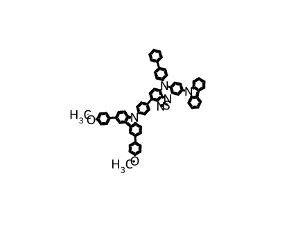 COc1ccc(-c2ccc3c(c2)c2cc(-c4ccc(OC)cc4)ccc2n3-c2ccc(-c3ccc(N(c4ccc(-c5ccccc5)cc4)c4ccc(-n5c6ccccc6c6ccccc65)cc4)c4nsnc34)cc2)cc1